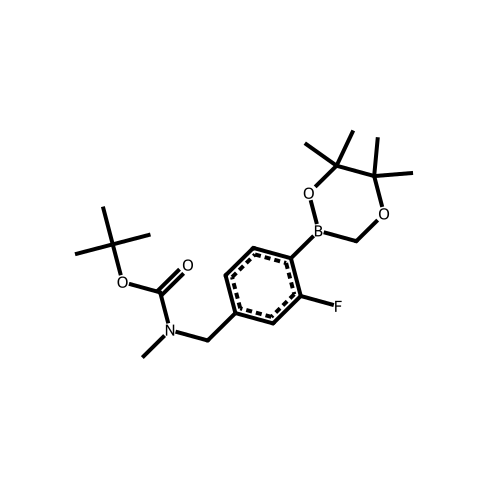 CN(Cc1ccc(B2COC(C)(C)C(C)(C)O2)c(F)c1)C(=O)OC(C)(C)C